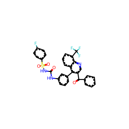 O=C(Nc1cccc(-c2c(C(=O)c3ccccc3)cnc3c(C(F)(F)F)cccc23)c1)NS(=O)(=O)c1ccc(F)cc1